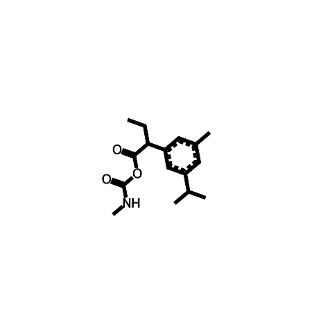 CCC(C(=O)OC(=O)NC)c1cc(C)cc(C(C)C)c1